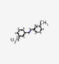 Cc1cccc(/C=C/c2cccc([N+](=O)[O-])c2)n1